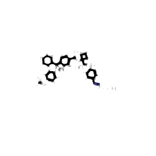 O=C(O)/C=C/c1ccc(NC(=O)C2(NC(=O)c3ccc4c(C5CCCCC5)n(-c5ccc(OC(F)F)cc5)nc4c3)CCC2)cc1